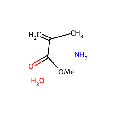 C=C(C)C(=O)OC.N.O